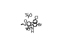 C=CCN1C(=O)C[C@@H](c2cccc(Cl)c2)[C@]2(C(=O)Nc3cc(Br)ccc32)[C@H]1C1(C)CC1.COC(C)[Si](C)(C)C